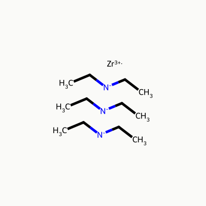 CC[N-]CC.CC[N-]CC.CC[N-]CC.[Zr+3]